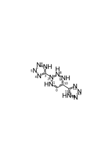 c1[nH]n(-c2nnn[nH]2)[nH][nH]c1-c1nnn[nH]1